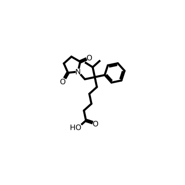 CC(C)C(CCCCC(=O)O)(CN1C(=O)CCC1=O)c1ccccc1